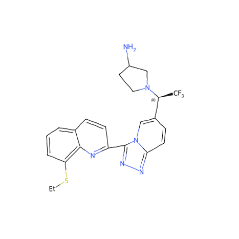 CCSc1cccc2ccc(-c3nnc4ccc([C@@H](N5CCC(N)C5)C(F)(F)F)cn34)nc12